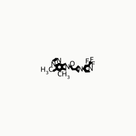 CCc1c(C)c2c(c3nccnc13)CN(C(=O)CC1CN(c3ccnc(C(F)(F)F)c3)C1)C2